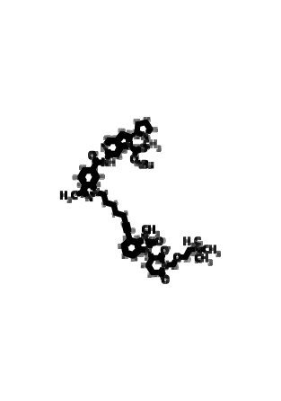 Cc1nn(CCCCCC#Cc2cccc3c2n(C)c(=O)n3C2CCC(=O)N(COCC[Si](C)(C)C)C2=O)c2cc(C(=O)Nc3cc4c(cn3)cc([C@H]3CCCN3C)n4C(=O)OC(C)(C)C)ccc12